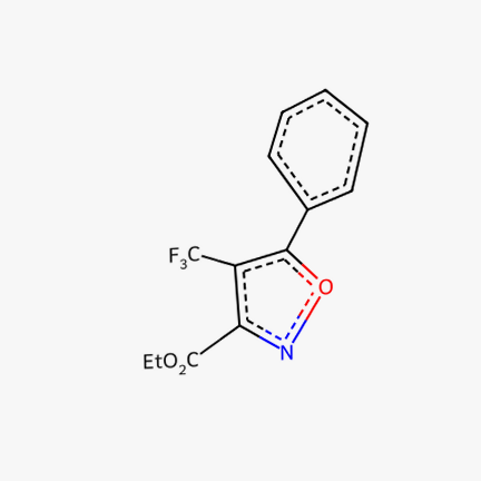 CCOC(=O)c1noc(-c2ccccc2)c1C(F)(F)F